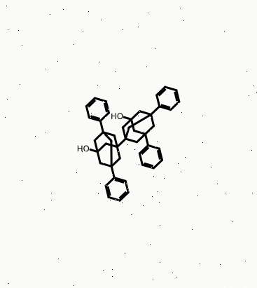 OC12CC3(c4ccccc4)CC(c4ccccc4)(C1)CC(C14CC5(O)CC(c6ccccc6)(CC(c6ccccc6)(C5)C1)C4)(C2)C3